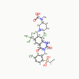 CCS(=O)(=O)c1ccc(Cl)cc1Cn1c(=O)[nH]c2c(Cl)c(CN3CCCC(N(C)C(=O)O)C3)c(C(F)(F)F)cc2c1=O